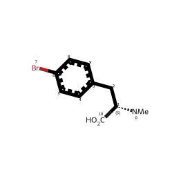 CN[C@@H](Cc1ccc(Br)cc1)C(=O)O